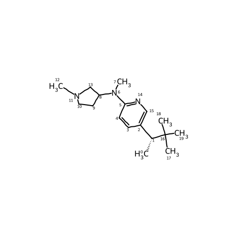 C[C@H](c1ccc(N(C)C2CCN(C)C2)nc1)C(C)(C)C